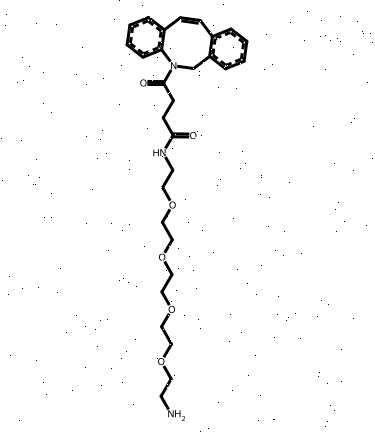 NCCOCCOCCOCCOCCNC(=O)CCC(=O)N1Cc2ccccc2/C=C\c2ccccc21